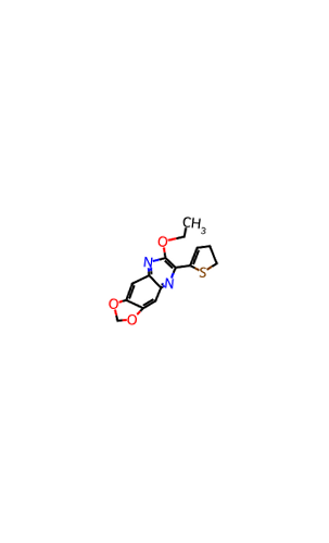 CCOc1nc2cc3c(cc2nc1C1=CCCS1)OCO3